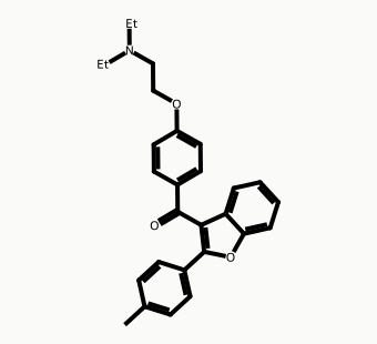 CCN(CC)CCOc1ccc(C(=O)c2c(-c3ccc(C)cc3)oc3ccccc23)cc1